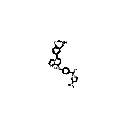 CN(C)C1CCN(C(=O)c2ccc(Nc3ccc(-c4ccc5c(c4)CNCO5)n4ccnc34)cc2)C1